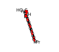 CCCOCCOCCOCCOCCOCCOCCOCCOCCOCCOCCOCCOCCOCCn1cc(CNC(=O)CC2SCC(C(=O)O)NC2=O)nn1